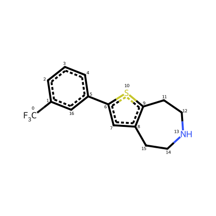 FC(F)(F)c1cccc(-c2cc3c(s2)CCNCC3)c1